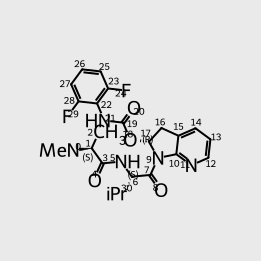 CN[C@@H](C)C(=O)N[C@H](C(=O)N1c2ncccc2C[C@H]1OC(=O)Nc1c(F)cccc1F)C(C)C